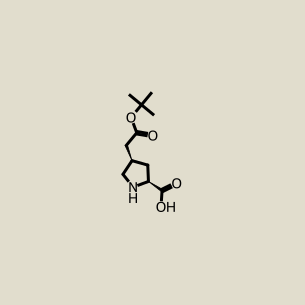 CC(C)(C)OC(=O)C[C@@H]1CN[C@H](C(=O)O)C1